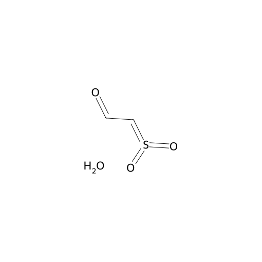 O.O=CC=S(=O)=O